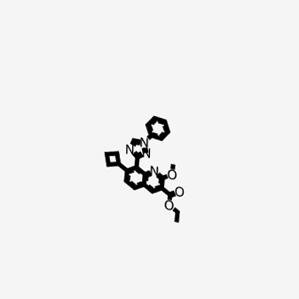 CCOC(=O)c1cc2ccc(C3CCC3)c(-c3ncn(-c4ccccc4)n3)c2nc1OC